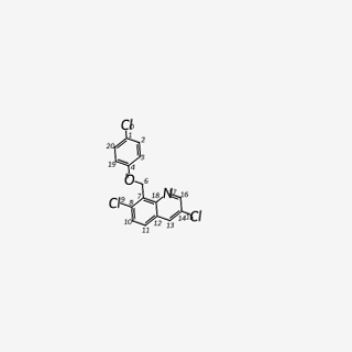 Clc1ccc(OCc2c(Cl)ccc3cc(Cl)cnc23)cc1